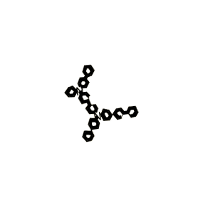 C1=CCC(C2=CCC(N(C3C=C[C@@H]([C@@H]4C=CC(N(C5=CC[C@@H](C6=CC[C@@H]([C@@H]7CC=CCC7)CC6)CC5)C5=CC[C@H](C6=CCCCC6)CC5)CC4)CC3)[C@@H]3CC=CCC3)CC2)CC1